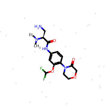 CCN(C)[C@@H](CN)C(=O)Nc1ccc(N2CCOCC2=O)c(OC(F)F)c1